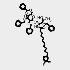 C[C@@H](O)[C@@H](OCc1ccccc1)[C@H](CO[C@H]1OC2COC(c3ccccc3)O[C@@H]2C(OCc2ccccc2)C1OCc1ccccc1)NC(=O)CCCCCCCCCCc1ccc(F)c(F)c1